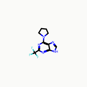 FC(F)(F)c1nc(N2CCCC2)c2nc[nH]c2n1